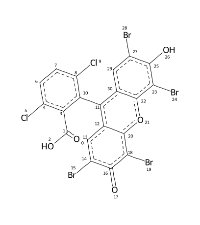 O=C(O)c1c(Cl)ccc(Cl)c1-c1c2cc(Br)c(=O)c(Br)c-2oc2c(Br)c(O)c(Br)cc12